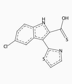 OC(=S)c1[nH]c2ccc(Cl)cc2c1-c1nccs1